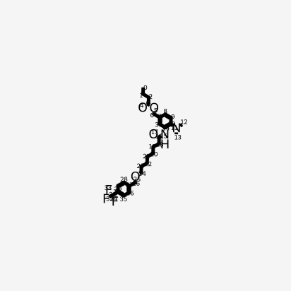 CCCC(=O)OCc1ccc(N(C)C)c(NC(=O)CCCCCCCOCc2ccc(C(F)(F)F)cc2)c1